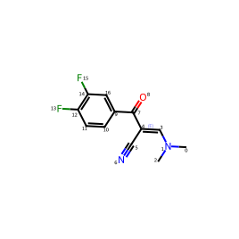 CN(C)/C=C(\C#N)C(=O)c1ccc(F)c(F)c1